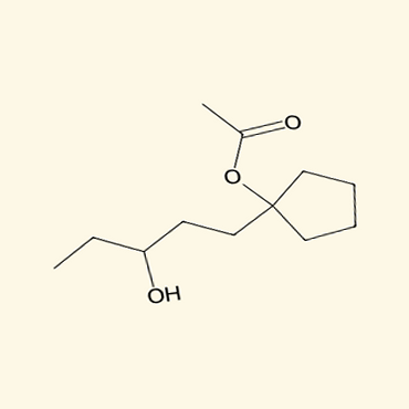 CCC(O)CCC1(OC(C)=O)CCCC1